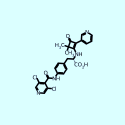 CC1(C)C(=O)C(c2cccnc2)=C1N[C@@H](Cc1ccc(NC(=O)c2c(Cl)cncc2Cl)cc1)C(=O)O